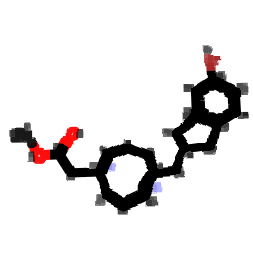 CC(C)(C)OC(=O)C/C1=C/CC/C(CC2Cc3ccc(Br)cc3C2)=C\CC1